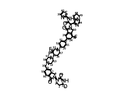 O=C1CCN(N2Cc3cc(CN4CCN(C5CCN(c6ccc(-c7cc(F)c8c(c7)C(=O)N(C(C(=O)Nc7nccs7)c7ncn9c7CCC9)C8)cc6)CC5(F)F)CC4)ccc3C2=O)C(=O)N1